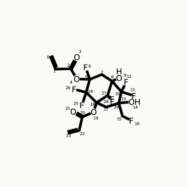 C=CC(=O)OC1(F)CC2(O)C(F)(F)C(O)(CF)CC(OC(=O)C=C)(C1(F)F)C2(F)F